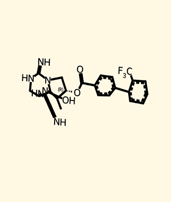 CC1[C@@H](OC(=O)c2ccc(-c3ccccc3C(F)(F)F)cc2)CN2C(=N)NCC3NC(=N)N(O)C312